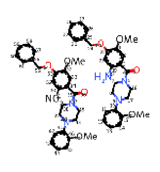 COc1cc(C(=O)N2CCN(c3ccccc3OC)CC2)c(N)cc1OCc1ccccc1.COc1cc(C(=O)N2CCN(c3ccccc3OC)CC2)c([N+](=O)[O-])cc1OCc1ccccc1